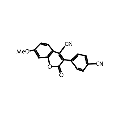 COc1ccc2c(C#N)c(-c3ccc(C#N)cc3)c(=O)oc2c1